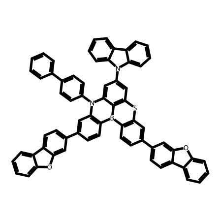 c1ccc(-c2ccc(N3c4cc(-c5ccc6c(c5)oc5ccccc56)ccc4B4c5ccc(-c6ccc7c(c6)oc6ccccc67)cc5Sc5cc(-n6c7ccccc7c7ccccc76)cc3c54)cc2)cc1